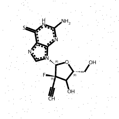 C#C[C@@]1(F)C(O)[C@@H](CO)O[C@H]1n1cnc2c(=S)[nH]c(N)nc21